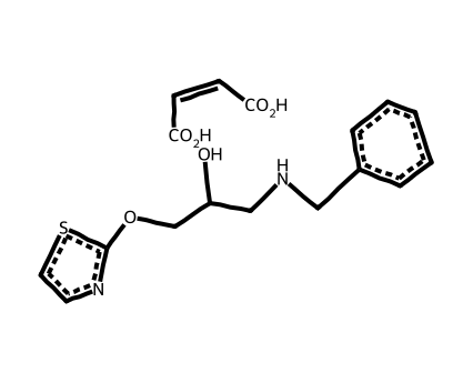 O=C(O)/C=C\C(=O)O.OC(CNCc1ccccc1)COc1nccs1